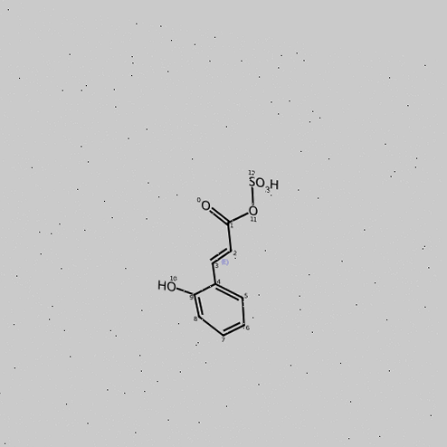 O=C(/C=C/c1ccccc1O)OS(=O)(=O)O